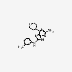 Cc1cccc(Nc2nc3c(N4CCOCC4)nc(N)nc3[nH]2)c1